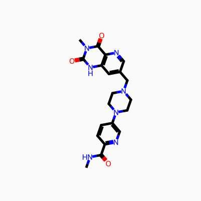 CNC(=O)c1ccc(N2CCN(Cc3cnc4c(=O)n(C)c(=O)[nH]c4c3)CC2)cn1